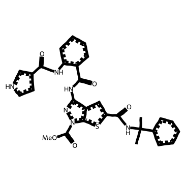 COC(=O)n1nc(NC(=O)c2ccccc2NC(=O)c2cc[nH]c2)c2cc(C(=O)NC(C)(C)c3ccccc3)sc21